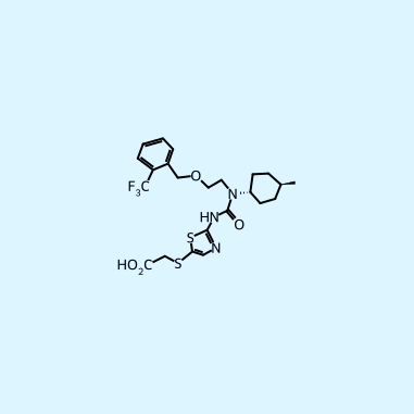 C[C@H]1CC[C@H](N(CCOCc2ccccc2C(F)(F)F)C(=O)Nc2ncc(SCC(=O)O)s2)CC1